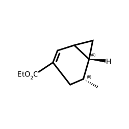 CCOC(=O)C1=CC2C[C@@H]2[C@H](C)C1